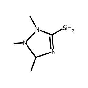 CC1N=C([SiH3])N(C)N1C